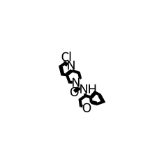 O=C(NC1CCOc2ccccc21)N1CCc2nc(Cl)ccc2C1